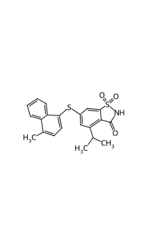 Cc1ccc(Sc2cc(C(C)C)c3c(c2)S(=O)(=O)NC3=O)c2ccccc12